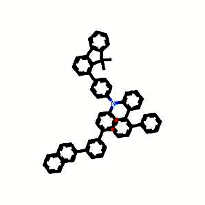 CC1(C)c2ccccc2-c2cccc(-c3ccc(N(c4ccc(-c5cccc(-c6ccc7ccccc7c6)c5)cc4)c4ccccc4-c4ccccc4-c4ccccc4)cc3)c21